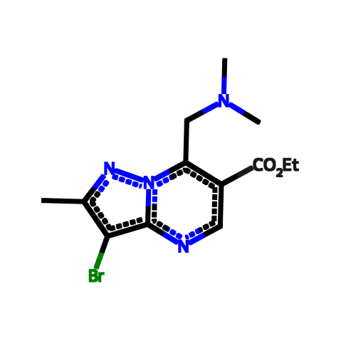 CCOC(=O)c1cnc2c(Br)c(C)nn2c1CN(C)C